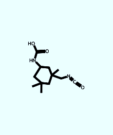 CC1(C)CC(NC(=O)O)CC(C)(CN=C=O)C1